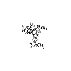 Cc1ccccc1Cc1cc(N[S+]([O-])C(C)(C)C)c(CCC(=O)O)s1